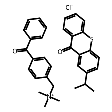 CC(C)c1ccc2sc3ccccc3c(=O)c2c1.C[N+](C)(C)Cc1ccc(C(=O)c2ccccc2)cc1.[Cl-]